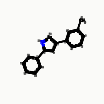 Cc1cccc(-c2cc(-c3ccccc3)n[se]2)c1